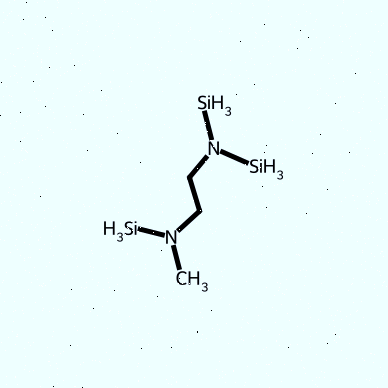 CN([SiH3])CCN([SiH3])[SiH3]